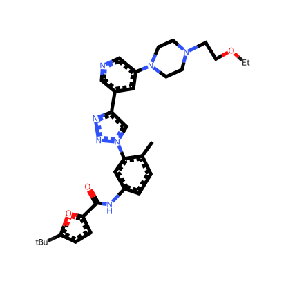 CCOCCN1CCN(c2cncc(-c3cn(-c4cc(NC(=O)c5ccc(C(C)(C)C)o5)ccc4C)nn3)c2)CC1